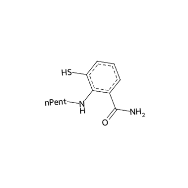 CCCCCNc1c(S)cccc1C(N)=O